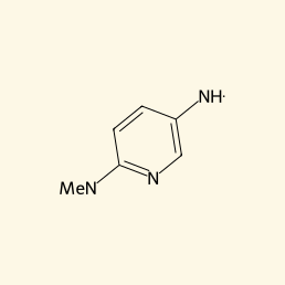 CNc1ccc([NH])cn1